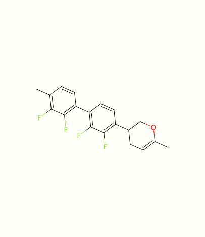 CC1=CCC(c2ccc(-c3ccc(C)c(F)c3F)c(F)c2F)CO1